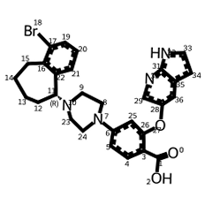 O=C(O)c1ccc(N2CCN([C@@H]3CCCCc4c(Br)cccc43)CC2)cc1Oc1cnc2[nH]ccc2c1